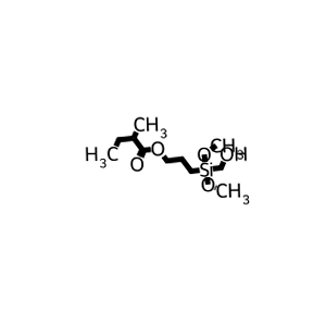 CCC(C)C(=O)OCCC[Si](CO)(OC)OC